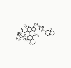 Cc1nc2c(cc(-c3nnc(N4CCN5CCC[C@H]5C4)o3)n2C)c(-c2cc(F)c3c(c2C)CCCO3)c1[C@H](OC(C)(C)C)C(=O)O